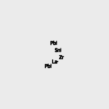 [La].[Pb].[Pb].[Sn].[Zr]